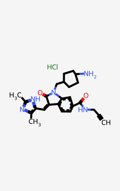 C#CCNC(=O)c1ccc2c(c1)N(CC1CCC(N)CC1)C(=O)/C2=C\c1[nH]c(C)nc1C.Cl